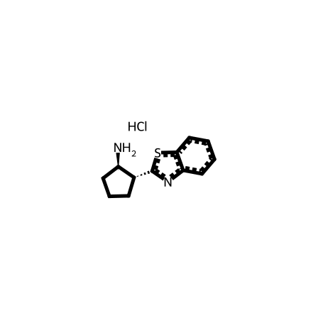 Cl.N[C@@H]1CCC[C@H]1c1nc2ccccc2s1